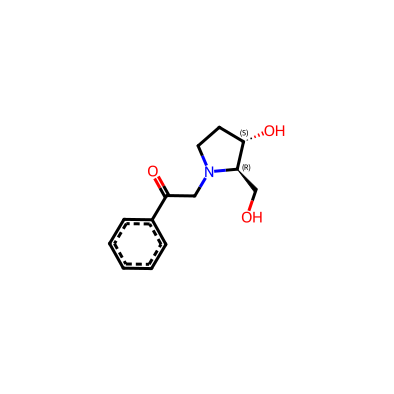 O=C(CN1CC[C@H](O)[C@H]1CO)c1ccccc1